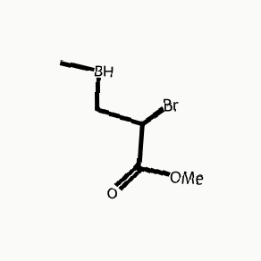 CBCC(Br)C(=O)OC